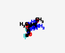 CONCc1cc(-c2cnc(OC)c(C(=O)NC3CN(C(=O)C4CC(F)(F)C4)CC3F)c2)n2ncnc(N)c12